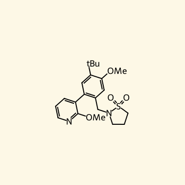 COc1cc(CN2CCCS2(=O)=O)c(-c2cccnc2OC)cc1C(C)(C)C